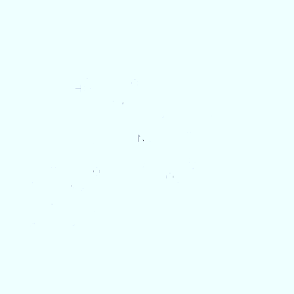 CC(=O)N(CC(=O)c1ccccc1)C(C(=O)O)C(C)O[Si](C)(C)C(C)(C)C